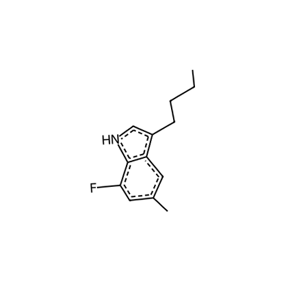 CCCCc1c[nH]c2c(F)cc(C)cc12